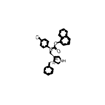 O=C(Oc1cccc2ccccc12)N(C[C@H]1CNC[C@@H]1Cc1ccccc1)c1ccc(Cl)cc1